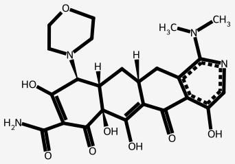 CN(C)c1ncc(O)c2c1C[C@H]1C[C@H]3[C@H](N4CCOCC4)C(O)=C(C(N)=O)C(=O)[C@@]3(O)C(O)=C1C2=O